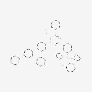 CCC1C(c2ccccc2)=NC(c2ccc3c(c2)C2(c4ccccc4Sc4ccccc42)c2ccccc2-3)=NC1c1ccc(-c2ccc(-c3ccccc3)nc2-c2ccccc2)cc1